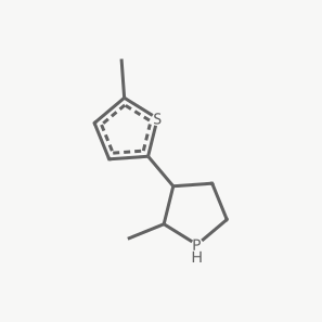 Cc1ccc(C2CCPC2C)s1